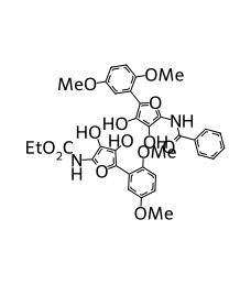 CCOC(=O)Nc1oc(-c2cc(OC)ccc2OC)c(O)c1O.COc1ccc(OC)c(-c2oc(NC(=O)c3ccccc3)c(O)c2O)c1